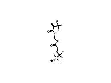 C=C(C(=O)OCNC(=O)OCC(F)(F)S(=O)(=O)O)C(F)(F)F